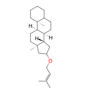 CC(C)=CCOC1C[C@H]2[C@@H]3CCC4CCCC[C@]4(C)[C@@H]3CC[C@]2(C)C1